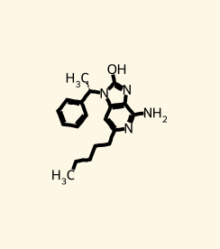 CCCCCc1cc2c(nc(O)n2[C@@H](C)c2ccccc2)c(N)n1